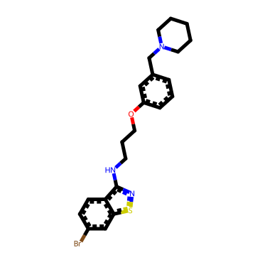 Brc1ccc2c(NCCCOc3cccc(CN4CCCCC4)c3)nsc2c1